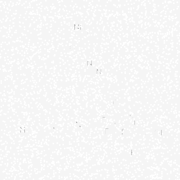 NC(=O)c1cccc2cn(-c3ccc(CN4CCN(Cc5ccccn5)CC4)cc3)nc12.O=C(O)C(F)(F)F.O=C(O)C(F)(F)F